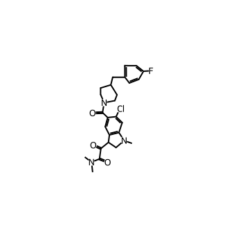 CN(C)C(=O)C(=O)C1CN(C)c2cc(Cl)c(C(=O)N3CCC(Cc4ccc(F)cc4)CC3)cc21